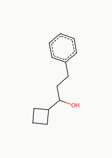 OC(CCc1ccccc1)C1CCC1